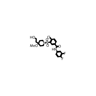 COC1(CCO)CCN(S(=O)(=O)c2cc(C(=O)Nc3ccc(F)c(F)c3)ccc2Cl)CC1